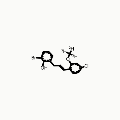 [2H]C([2H])([2H])Oc1cc(Cl)ccc1C=CCc1cccc(Br)c1O